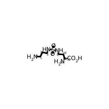 NCCCNS(=O)(=O)NCC[C@H](N)C(=O)O